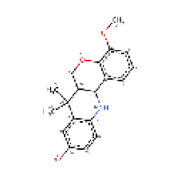 COc1cccc2c1OCC1C2Nc2ccc(Br)cc2C1(C)C